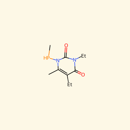 CCc1c(C)n(PC)c(=O)n(CC)c1=O